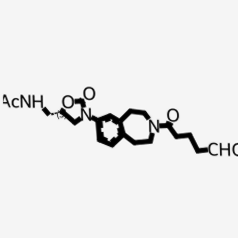 CC(=O)NC[C@H]1CN(c2ccc3c(c2)CCN(C(=O)CCCC=O)CC3)C(=O)O1